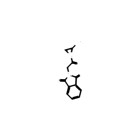 N#CC1CN1C(=O)CN1C(=O)c2ccccc2C1=O